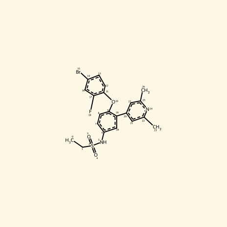 CCS(=O)(=O)Nc1ccc(Oc2ccc(Br)cc2F)c(-c2cc(C)nc(C)c2)c1